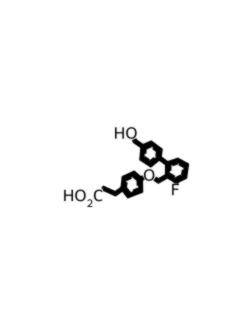 O=C(O)CCc1ccc(OCc2c(F)cccc2-c2ccc(CO)cc2)cc1